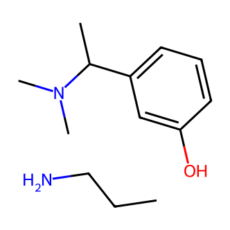 CC(c1cccc(O)c1)N(C)C.CCCN